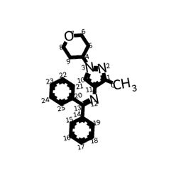 Cc1nn(C2CCOCC2)cc1N=C(c1ccccc1)c1ccccc1